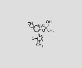 CCc1ccc(OC(C)(C)CO)c(-n2nnn(C)c2=O)c1